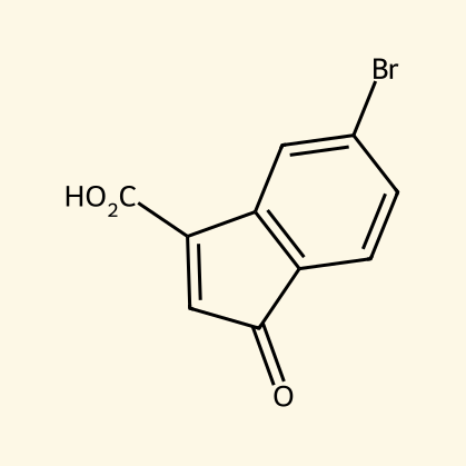 O=C(O)C1=CC(=O)c2ccc(Br)cc21